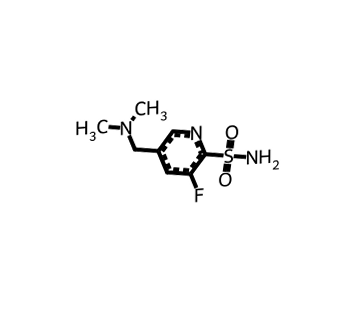 CN(C)Cc1cnc(S(N)(=O)=O)c(F)c1